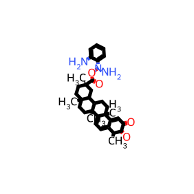 CC1C(=O)C(=O)C=C2C1=CC=C1C2(C)CCC2C3C[C@](C)(C(=O)ON(N)c4ccccc4N)CCC3(C)CCC12C